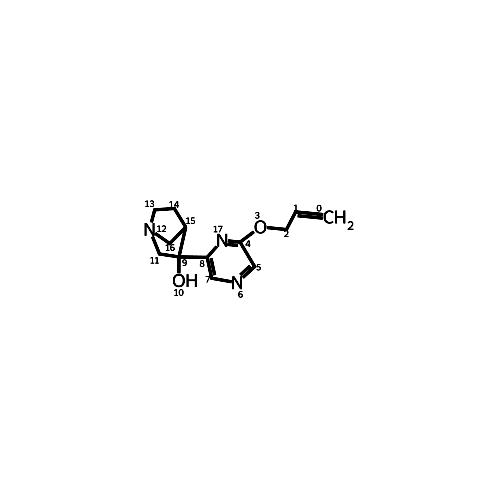 C=CCOc1cncc(C2(O)CN3CCC2C3)n1